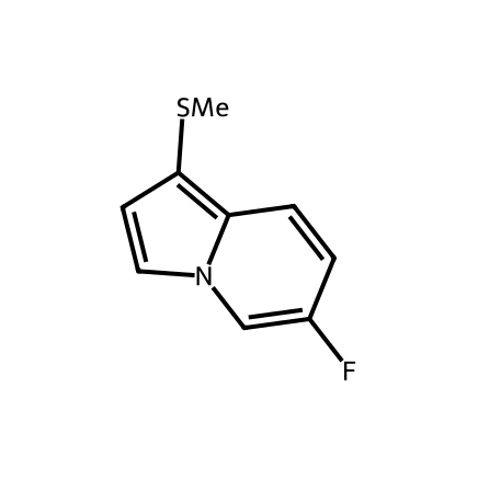 CSc1ccn2cc(F)ccc12